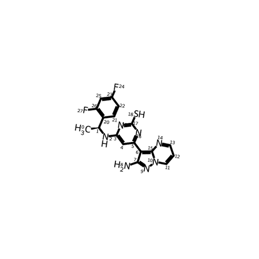 C[C@H](Nc1cc(-c2c(N)nn3cccnc23)nc(S)n1)c1ccc(F)cc1F